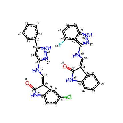 O=C1Nc2ccc(Cl)cc2C1=CNc1cc(-c2ccccc2)[nH]n1.O=C1Nc2ccccc2C1=CNc1n[nH]c2cccc(F)c12